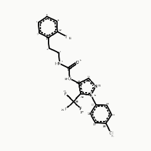 O=C(NCCc1ccccc1F)Oc1cnn(-c2ccc(Cl)cc2)c1C(F)(F)F